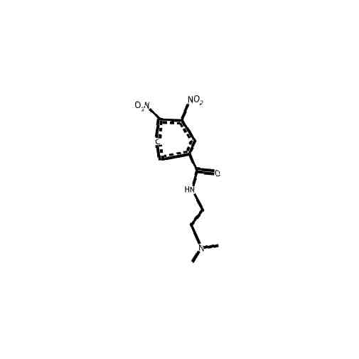 CN(C)CCNC(=O)c1ccc([N+](=O)[O-])c([N+](=O)[O-])c1